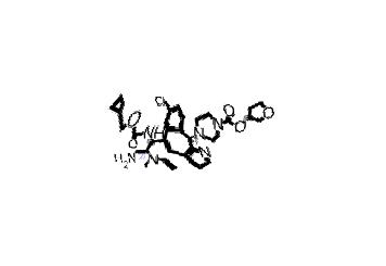 C=CN(C)/C(=C\N)[C@H](NC(=O)OCC1CC1)C1=Cc2cccnc2[C@@H](N2CCN(C(=O)O[C@@H]3CCOC3)CC2)c2ccc(Cl)cc21